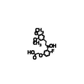 COc1ccc(CC[C@@H](O)c2cc(OCC(=O)O)ccc2F)cc1OC